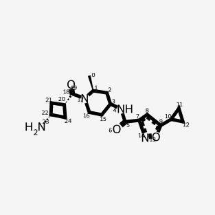 C[C@H]1CC(NC(=O)c2cc(C3CC3)on2)CCN1C(=O)[C@H]1C[C@@H](N)C1